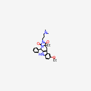 CCOc1ccc2[nH]c3c(c2c1)CC1(CC)C(=O)N(CCCN(C)C)C(=O)N1C3c1ccccc1